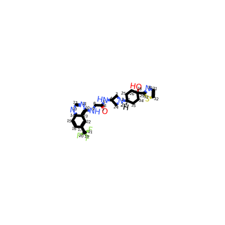 [2H][C@]1(N2CC(NC(=O)CNc3ncnc4ccc(C(F)(F)F)cc34)C2)CC[C@](O)(c2nccs2)CC1